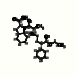 CCOC(=O)C(CCNC(C)C(=O)N1C(C(=O)O)CC2CCCCC21)c1ccccc1